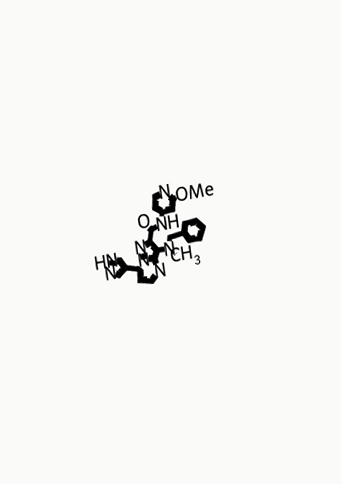 COc1cc(NC(=O)c2nn3c(-c4cn[nH]c4)ccnc3c2N(C)Cc2ccccc2)ccn1